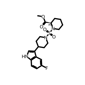 COC(=O)[C@H]1CCCCN1S(=O)(=O)N1CCC(c2c[nH]c3ccc(F)cc23)CC1